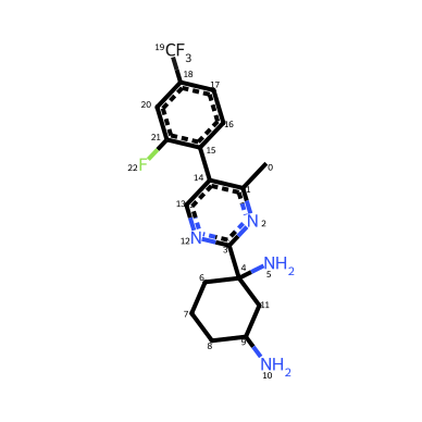 Cc1nc(C2(N)CCCC(N)C2)ncc1-c1ccc(C(F)(F)F)cc1F